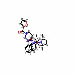 Cc1nc2ccccc2n1C1C[C@H]2CC[C@@H](C1)N2CCC1(c2ccccc2)CCN(C(=O)c2ccco2)CC1